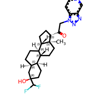 C[C@]12CC[C@H]3[C@@H](CC[C@@H]4C[C@@](O)(C(F)F)CC[C@@H]43)[C@@H]1CC[C@@H]2C(=O)Cn1nnc2cnccc21